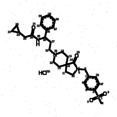 CS(=O)(=O)c1ccc(CN2CCC3(CCN(CCC(NC(=O)CC4CC4)c4ccccc4)CC3)C2=O)cc1.Cl